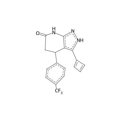 O=C1CC(c2ccc(C(F)(F)F)cc2)c2c(n[nH]c2C2=CC=C2)N1